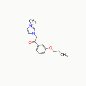 CCCOc1cccc(C(=O)Cn2cc[n+](C)c2)c1